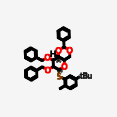 Cc1ccc(C(C)(C)C)cc1S[C@@H]1OC2COC(c3ccccc3)O[C@H]2C(OCc2ccccc2)C1OCc1ccccc1